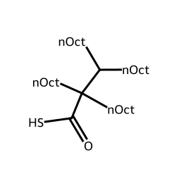 CCCCCCCCC(CCCCCCCC)C(CCCCCCCC)(CCCCCCCC)C(=O)S